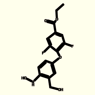 CCOC(=O)c1cc(F)c(Oc2ccc(BO)c(CO)c2)c(F)c1